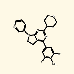 Nc1c(F)cc(-c2nc(N3CCOCC3)nc3c2CCN3c2cccnc2)cc1F